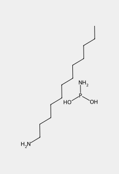 CCCCCCCCCCCCN.NP(O)O